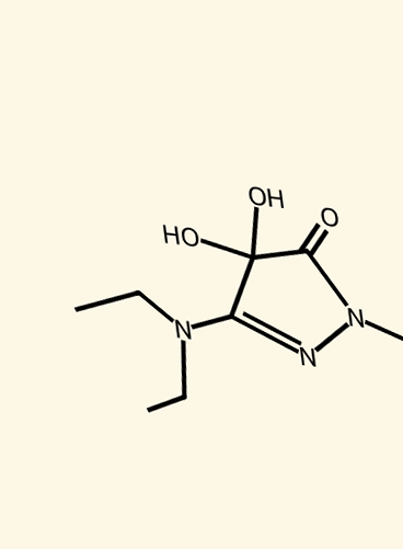 CCN(CC)C1=NN(C)C(=O)C1(O)O